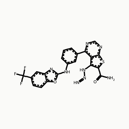 N=NNc1c(C(N)=O)sc2ncnc(-c3cccc(Nc4nc5cc(C(F)(F)F)ccc5o4)c3)c12